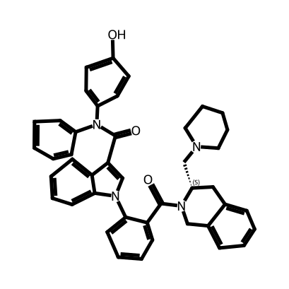 O=C(c1cn(-c2ccccc2C(=O)N2Cc3ccccc3C[C@H]2CN2CCCCC2)c2ccccc12)N(c1ccccc1)c1ccc(O)cc1